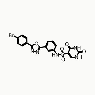 O=c1[nH]cc(S(=O)(=O)Nc2cccc(-c3nnc(-c4ccc(Br)cc4)o3)c2)c(=O)[nH]1